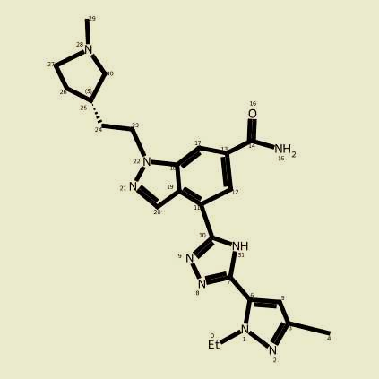 CCn1nc(C)cc1-c1nnc(-c2cc(C(N)=O)cc3c2cnn3CC[C@@H]2CCN(C)C2)[nH]1